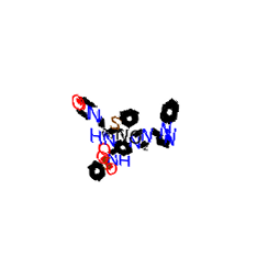 O=C(NS(=O)(=O)c1ccccc1)c1ccc(N2CCN(Cc3ccnn3-c3ccccc3)CC2)c([N+](=O)[O-])c1N[C@H](CCN1CCOCC1)CSc1ccccc1